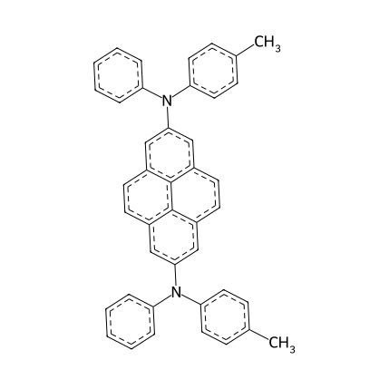 Cc1ccc(N(c2ccccc2)c2cc3ccc4cc(N(c5ccccc5)c5ccc(C)cc5)cc5ccc(c2)c3c45)cc1